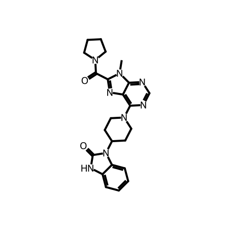 Cn1c(C(=O)N2CCCC2)nc2c(N3CCC(n4c(=O)[nH]c5ccccc54)CC3)ncnc21